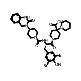 O=C(N[C@H](Cc1cc(Br)c(O)c(Br)c1)C(=O)N1CCC(C(=O)O)(N2CCCCC2)CC1)N1CCC(N2Cc3ccccc3NC2=O)CC1